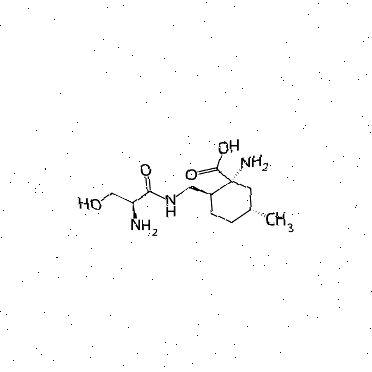 C[C@@H]1CC[C@@H](CNC(=O)[C@@H](N)CO)[C@@](N)(C(=O)O)C1